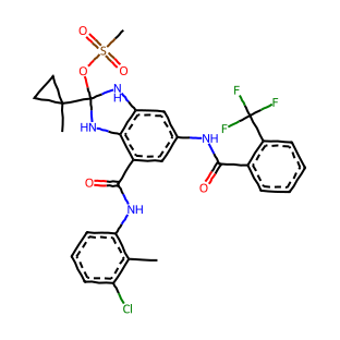 Cc1c(Cl)cccc1NC(=O)c1cc(NC(=O)c2ccccc2C(F)(F)F)cc2c1NC(OS(C)(=O)=O)(C1(C)CC1)N2